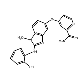 CNC(=O)c1cc(Oc2ccc3c(c2)nc(Nc2ccccc2O)n3C)ccn1